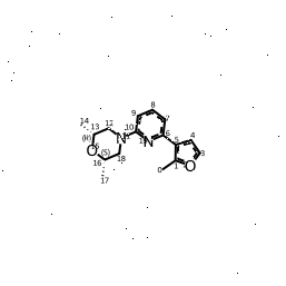 Cc1occc1-c1cccc(N2C[C@@H](C)O[C@@H](C)C2)n1